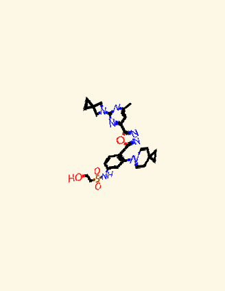 Cc1cc(-c2nnc(-c3ccc(NS(=O)(=O)CCO)cc3N3CCC4(CC3)CC4)o2)nc(N2CC3(CC3)C2)n1